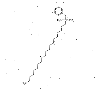 CCCCCCCCCCCCCCCCCCCC[N+](C)(C)Cc1ccccc1.[I-]